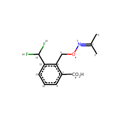 CC(C)=NOCc1c(C(=O)O)cccc1C(F)F